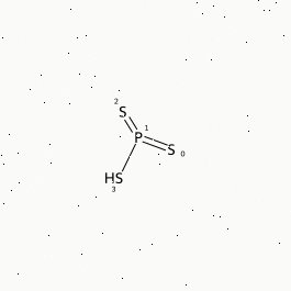 S=P(=S)S